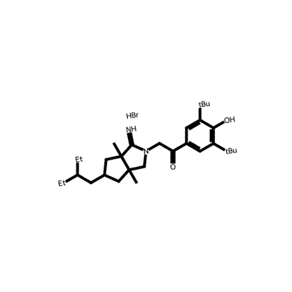 Br.CCC(CC)CC1CC2(C)CN(CC(=O)c3cc(C(C)(C)C)c(O)c(C(C)(C)C)c3)C(=N)C2(C)C1